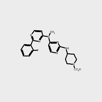 CN(c1ccnc(NC2CCN(C(=O)O)CC2)n1)c1ccnc(-c2ccccc2F)n1